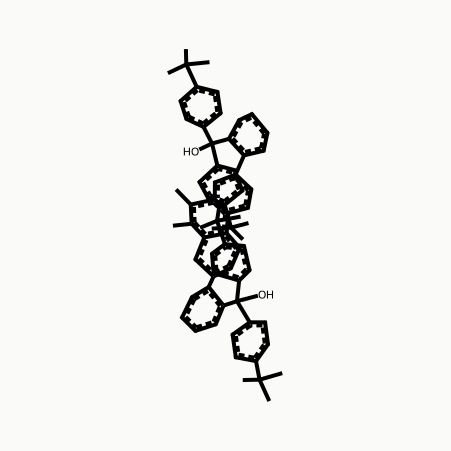 Cc1c(C)c2cc(-c3ccccc3C(O)(c3ccc(C(C)(C)C)cc3)c3ccc(C(C)(C)C)cc3)ccc2c2ccc(-c3ccccc3C(O)(c3ccc(C(C)(C)C)cc3)c3ccc(C(C)(C)C)cc3)cc12